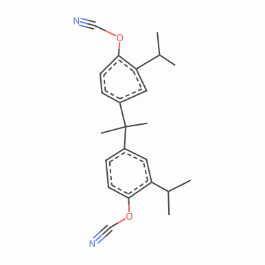 CC(C)c1cc(C(C)(C)c2ccc(OC#N)c(C(C)C)c2)ccc1OC#N